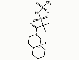 O=C(N1CCC2CCCC[C@@H]2C1)C(F)(F)S(=O)(=O)NS(=O)(=O)C(F)(F)F